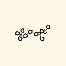 c1ccc(-n2ccc3c2ccc2c4cc(-c5cccc(-c6ccc7c(c6)C(c6ccccc6)(c6ccccc6)c6ccccc6-7)c5)ccc4n(-c4ccccc4)c23)cc1